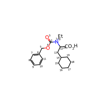 CCN(C(=O)OCc1ccccc1)C(CC1CCCCC1)C(=O)O